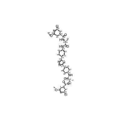 COc1cc(C(=O)N[C@@H](C)C(=O)Nc2ccc(-c3nnc(-c4ccc(NC(=O)[C@H](C)NC(=O)c5cc(Cl)nc(OC)c5)cc4)o3)cc2)cc(Cl)n1